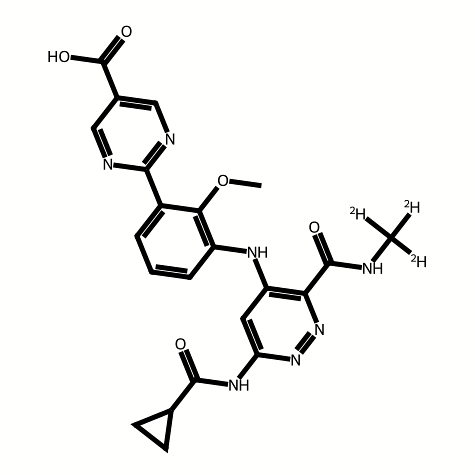 [2H]C([2H])([2H])NC(=O)c1nnc(NC(=O)C2CC2)cc1Nc1cccc(-c2ncc(C(=O)O)cn2)c1OC